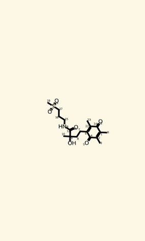 CC1=C(C)C(=O)C(CCC(C)(O)C(=O)NCCCS(C)(=O)=O)=C(C)C1=O